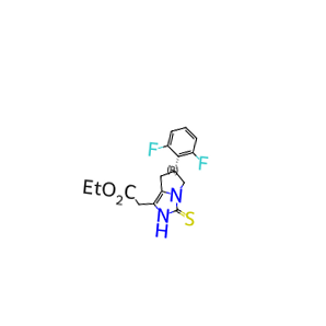 CCOC(=O)Cc1[nH]c(=S)n2c1C[C@H](c1c(F)cccc1F)C2